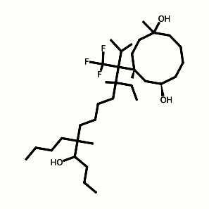 CCCCC(C)(CCCCC(C)(CC)C(C(C)C)(C(F)(F)F)[C@]1(C)CCC(C)(O)CCCC[C@@H](O)C1)C(O)CCC